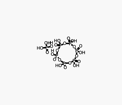 O=P(O)(O)O.O=P1(O)OP(=O)(O)OP(=O)(O)OP(=O)(O)OP(=O)(O)OP(=O)(O)O1